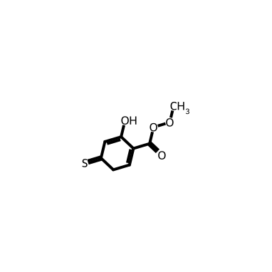 COOC(=O)C1=CCC(=S)C=C1O